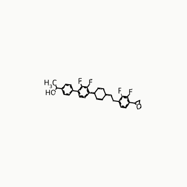 CC(O)c1ccc(-c2ccc(C3CCC(CCc4ccc(C5CO5)c(F)c4F)CC3)c(F)c2F)cc1